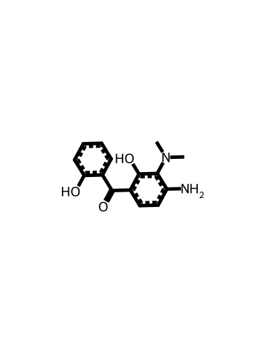 CN(C)c1c(N)ccc(C(=O)c2ccccc2O)c1O